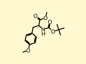 COC(=O)C(Cc1ccc(OC)cc1)NC(=O)OC(C)(C)C